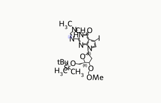 COCOC1C[C@H](n2cc(I)c3c(=O)[nH]c(/N=C\N(C)C)nc32)O[C@@H]1CO[Si](C)(C)C(C)(C)C